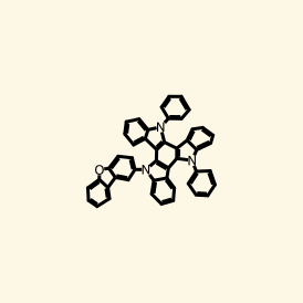 c1ccc(-n2c3ccccc3c3c2c2c4ccccc4n(-c4ccc5oc6ccccc6c5c4)c2c2c4ccccc4n(-c4ccccc4)c32)cc1